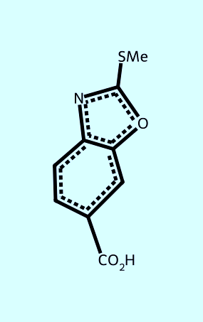 CSc1nc2ccc(C(=O)O)cc2o1